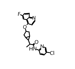 CC(C(=O)Nc1ccc(Cl)cn1)C1C2CC(Oc3ccnc4ccc(F)cc34)CC21